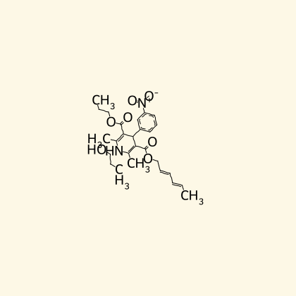 CC=CC=CCOC(=O)C1=C(C)NC(C)=C(C(=O)OCCC)C1c1cccc([N+](=O)[O-])c1.CCCO